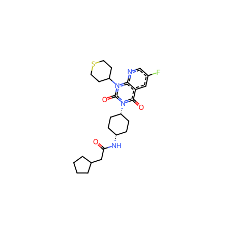 O=C(CC1CCCC1)N[C@H]1CC[C@@H](n2c(=O)c3cc(F)cnc3n(C3CCSCC3)c2=O)CC1